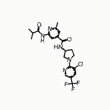 Cc1cc(C(=O)NC2CCN(c3ncc(C(F)(F)F)cc3Cl)C2)cc(NC(=O)C(C)C)n1